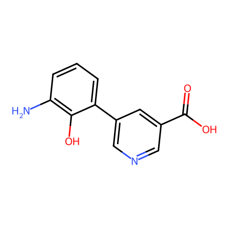 Nc1cccc(-c2cncc(C(=O)O)c2)c1O